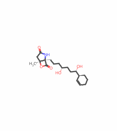 C[C@]12CC(=O)N[C@@]1(CCC[C@@H](O)CC[C@H](O)[C@@H]1C=CCCC1)C(=O)O2